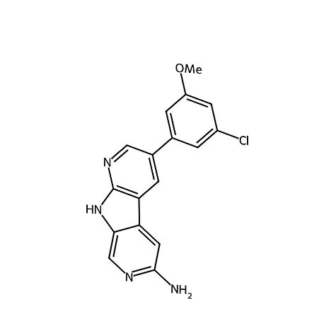 COc1cc(Cl)cc(-c2cnc3[nH]c4cnc(N)cc4c3c2)c1